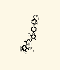 C[C@@H]1CN(C2CCN(c3ncc(C(F)(F)F)cn3)CC2)C(=O)[C@H]1OC[C@H](C)Nc1cn[nH]c(=O)c1C(F)(F)F